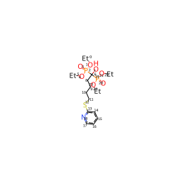 CCOP(=O)(OCC)C(O)(CCCCSc1ccccn1)P(=O)(OCC)OCC